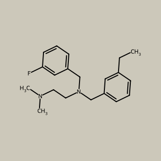 CCc1cccc(CN(CCN(C)C)Cc2cccc(F)c2)c1